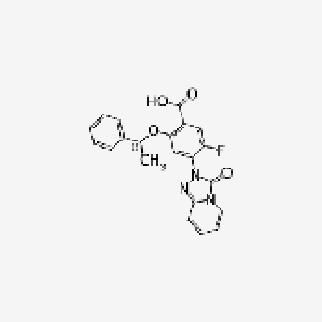 C[C@H](Oc1cc(-n2nc3ccccn3c2=O)c(F)cc1C(=O)O)c1ccccc1